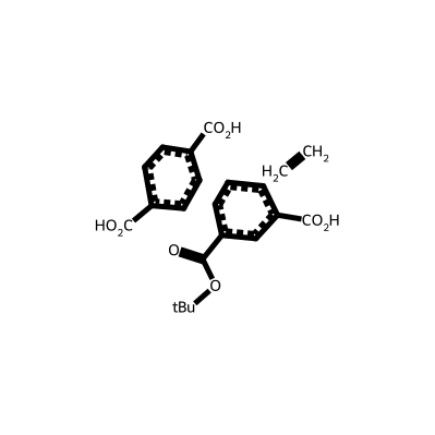 C=C.CC(C)(C)OC(=O)c1cccc(C(=O)O)c1.O=C(O)c1ccc(C(=O)O)cc1